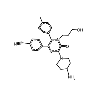 Cc1ccc(-c2c(-c3ccc(C#N)cc3)nc(N3CCC(N)CC3)c(=O)n2CCCO)cc1